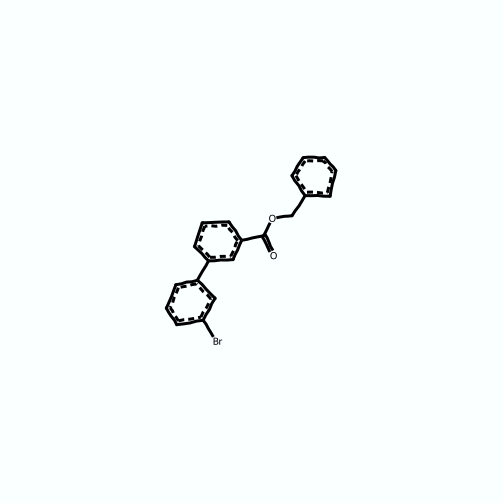 O=C(OCc1ccccc1)c1cccc(-c2cccc(Br)c2)c1